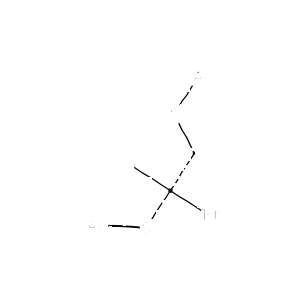 CCC(C)(CSC(C)=O)SC(C)=O